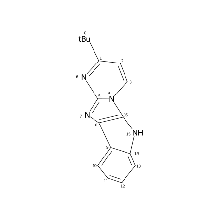 CC(C)(C)c1ccn2c(n1)nc1c3ccccc3[nH]c12